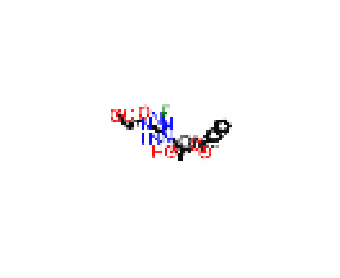 C#CC(COC(=O)C1CCC2(CCCC2)CC1)(OC)[C@@H](O)Cn1cnc2c(NC(=O)[C@H]3CCC(=O)O3)nc(F)nc21